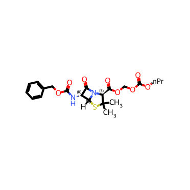 CCCOC(=O)OCOC(=O)[C@@H]1N2C(=O)[C@@H](NC(=O)OCc3ccccc3)[C@H]2SC1(C)C